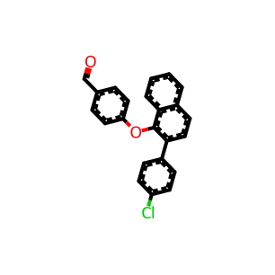 O=Cc1ccc(Oc2c(-c3ccc(Cl)cc3)ccc3ccccc23)cc1